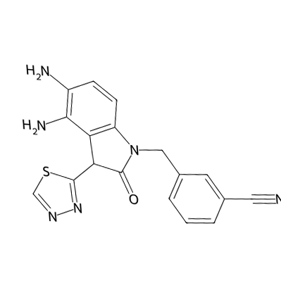 N#Cc1cccc(CN2C(=O)C(c3nncs3)c3c2ccc(N)c3N)c1